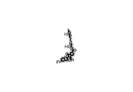 C=CONOCCCCOCC(O)COC(=O)c1ccc2c(c1)C(=O)C(c1nc3ccc(C(C)C)cc3cc1O)C2=O